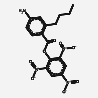 CCCCc1cc(N)ccc1C(=O)Oc1c([N+](=O)[O-])cc([N+](=O)[O-])cc1[N+](=O)[O-]